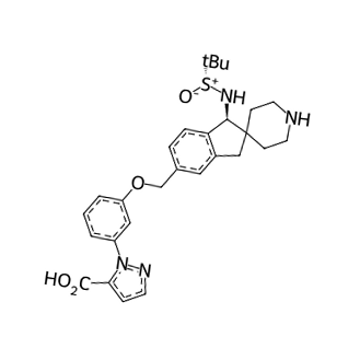 CC(C)(C)[S@@+]([O-])N[C@@H]1c2ccc(COc3cccc(-n4nccc4C(=O)O)c3)cc2CC12CCNCC2